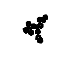 c1ccc(-c2c(-c3ccccc3)c3cc(N(c4ccc(-c5ccc6ccccc6c5)cc4)c4cccc(-c5cccc6c5oc5ccccc56)c4)ccc3c3ccccc23)cc1